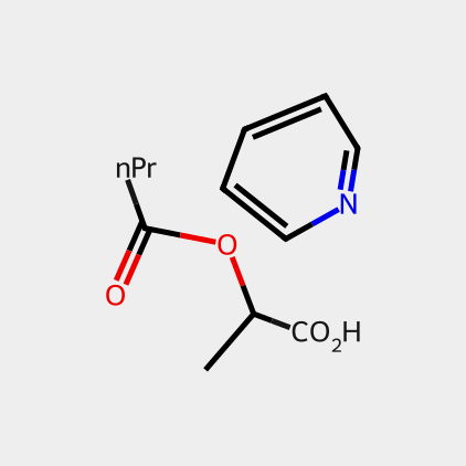 CCCC(=O)OC(C)C(=O)O.c1ccncc1